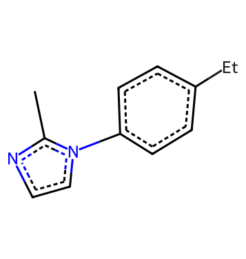 CCc1ccc(-n2ccnc2C)cc1